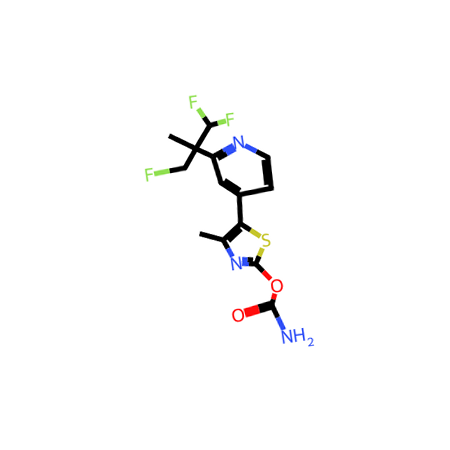 Cc1nc(OC(N)=O)sc1-c1ccnc(C(C)(CF)C(F)F)c1